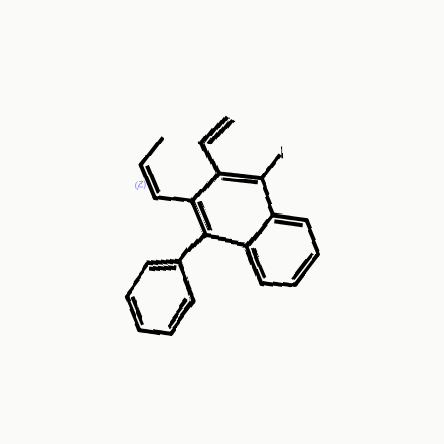 C=Cc1c(/C=C\C)c(-c2ccccc2)c2ccccc2c1I